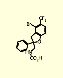 O=C(O)NCC1(c2ccccc2)Cc2c(ccc(C(F)(F)F)c2Br)O1